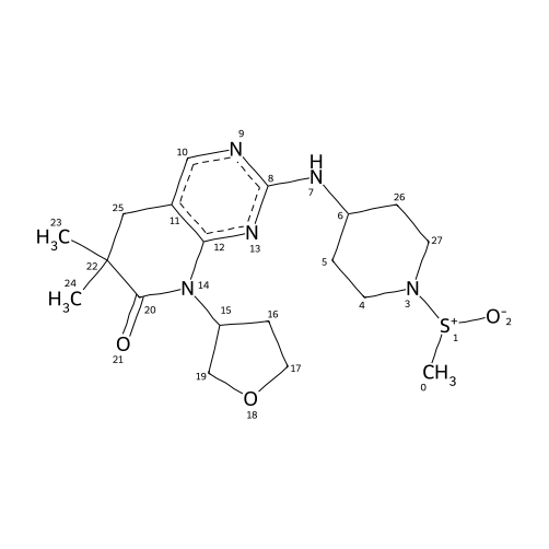 C[S+]([O-])N1CCC(Nc2ncc3c(n2)N(C2CCOC2)C(=O)C(C)(C)C3)CC1